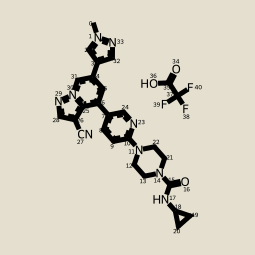 Cn1cc(-c2cc(-c3ccc(N4CCN(C(=O)NC5CC5)CC4)nc3)c3c(C#N)cnn3c2)cn1.O=C(O)C(F)(F)F